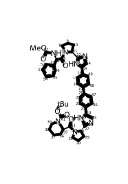 COC(=O)N[C@@H](C(=O)N1CCC[C@H]1c1ncc(-c2ccc(-c3ccc(-c4cnc([C@@H]5CCCN5C(=O)[C@H]5CCCCN5C(=O)OC(C)(C)C)[nH]4)cc3)cc2)[nH]1)c1ccccc1